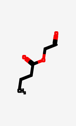 CCCC(=O)OC[C]=O